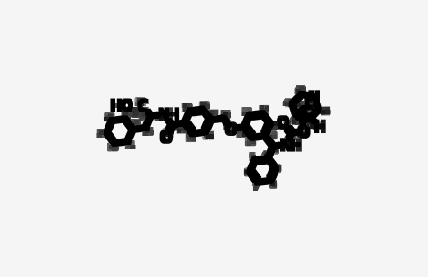 O=C(NC(c1ccccc1)c1cccc(OCc2ccc(C(=O)NC(CC3CCCCC3)C(=O)O)cc2)c1)O[C@H]1CN2CCC1CC2